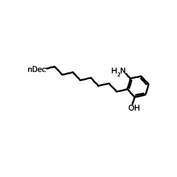 CCCCCCCCCCCCCCCCCCc1c(N)cccc1O